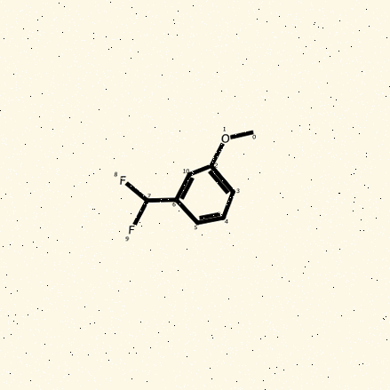 COc1cc[c]c(C(F)F)c1